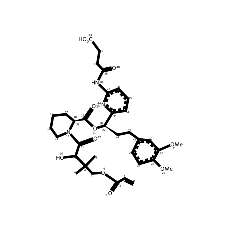 C=CC(=O)OCC(C)(C)C(O)C(=O)N1CCCC[C@H]1C(=O)O[C@H](CCc1ccc(OC)c(OC)c1)c1cccc(NC(=O)CCC(=O)O)n1